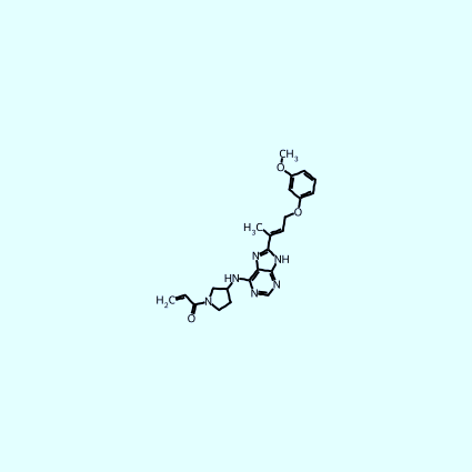 C=CC(=O)N1CCC(Nc2ncnc3[nH]c(/C(C)=C/COc4cccc(OC)c4)nc23)C1